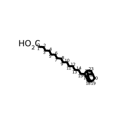 O=C(O)CCCCCCCCCCCCCCCC1C2CC3CC(C2)CC1C3